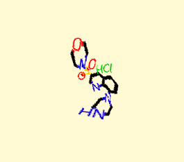 Cl.O=S(=O)(c1cnc2c(N3CCNCC3)cccc2c1)N1CCOCC1